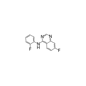 Fc1ccc2c(Nc3ccccc3F)ncnc2c1